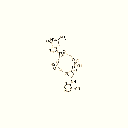 N#Cc1cncnc1N[C@@H]1C[C@@H]2COP(=O)(S)O[C@@H]3[C@H](O)C(COP(=O)(S)O[C@H]2C1)O[C@H]3n1cnc2c(=O)[nH]c(N)nc21